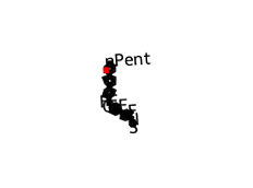 CCCCCC1CCC(C2CCC(C3CCC(C(F)(F)Oc4ccc(-c5ccc(N=C=S)c(F)c5)c(F)c4)CC3)CC2)CC1